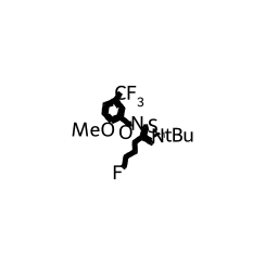 COc1ccc(C(F)(F)F)cc1C(=O)N=c1sn(C(C)(C)C)cc1CCCCF